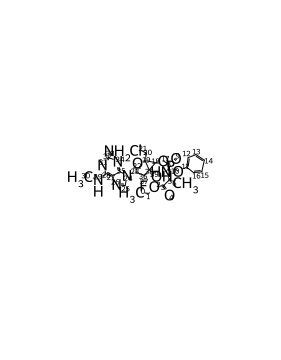 CCOC(=O)[C@@H](C)N[P@@](=O)(Oc1ccccc1)OC1[C@@]2(CCl)O[C@@H](n3cnc4c(NC)nc(N)nc43)[C@@H](F)[C@@]12O